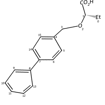 CC[C@H](OCc1ccc(-c2ccccc2)cc1)C(=O)O